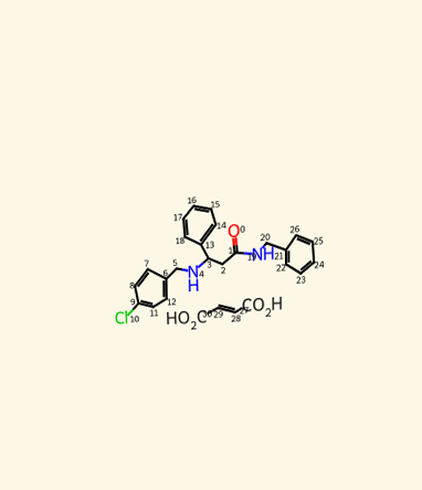 O=C(CC(NCc1ccc(Cl)cc1)c1ccccc1)NCc1ccccc1.O=C(O)/C=C/C(=O)O